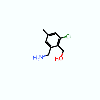 Cc1cc(Cl)c(CO)c(CN)c1